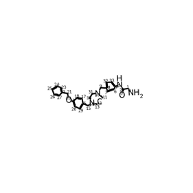 NCC(=O)Nc1ccc(CN2CCCN(Cc3ccc(OCc4ccccc4)cc3)CC2)cc1